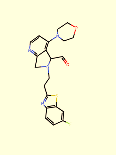 O=CC1c2c(N3CCOCC3)ccnc2CN1CCc1nc2ccc(F)cc2s1